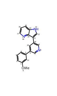 COc1cccc(-c2cncc(-c3c[nH]c4cccnc34)c2)c1